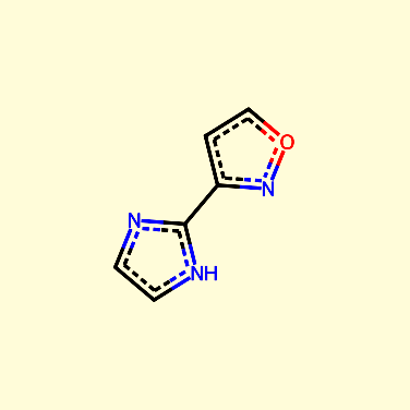 c1c[nH]c(-c2ccon2)n1